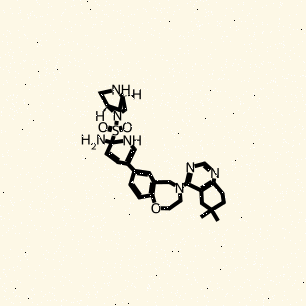 CC1(C)CCc2ncnc(N3CCOc4ccc(C5=CNC(N)(S(=O)(=O)N6C[C@H]7C[C@@H]6CN7)C=C5)cc4C3)c2C1